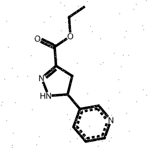 CCOC(=O)C1=NNC(c2cccnc2)C1